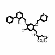 CCOC(=O)C(CO)NCc1cc(Cl)c(OCc2cccc(-c3ccccc3)c2Br)cc1OCc1cccnc1